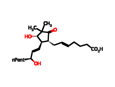 CCCCC[C@H](O)C=C[C@@H]1[C@@H](CC=CCCCC(=O)O)C(=O)C(C)(C)[C@H]1O